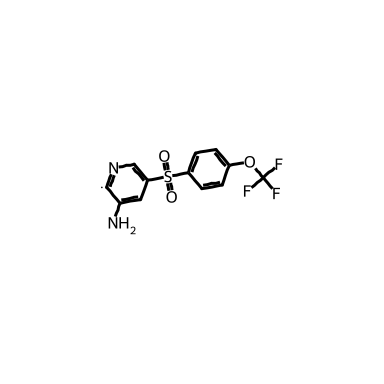 Nc1[c]ncc(S(=O)(=O)c2ccc(OC(F)(F)F)cc2)c1